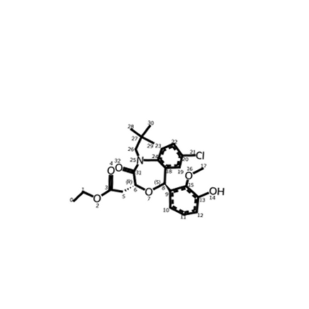 CCOC(=O)C[C@H]1O[C@H](c2cccc(O)c2OC)c2cc(Cl)ccc2N(CC(C)(C)C)C1=O